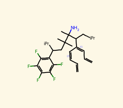 C=C/C=C\C(=C/C=C)C(CC(C)C)C(C)(N)C(C)(C)CC(c1c(F)c(F)c(F)c(F)c1F)C(C)C